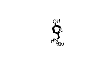 CC(C)(C)NCc1ccc(O)cn1